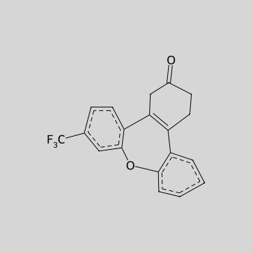 O=C1CCC2=C(C1)c1ccc(C(F)(F)F)cc1Oc1ccccc12